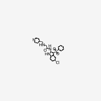 O=C(CNCc1ccncc1)Nc1[nH]c2ccc(Cl)cc2c1S(=O)(=O)c1ccccc1